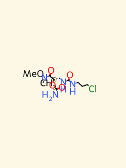 CON(C)C(=O)[C@H](CNC(=O)NCCCCl)OC(N)=O